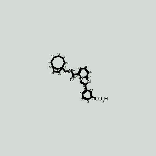 O=C(O)c1cccc(-c2cn3c(C(=O)NCC45CCCCCC(CC4)C5)cccc3n2)c1